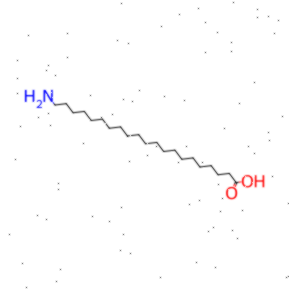 NCCCCCCCCCCCCCCCCCCCCC(=O)O